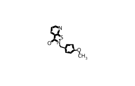 COc1ccc(Cn2sc3ncccc3c2=O)cc1